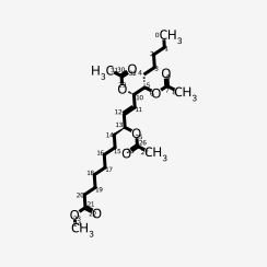 CCCCC[C@H](OC(C)=O)[C@H](/C=C/[C@H](CCCCCCCC(=O)OC)OC(C)=O)OC(C)=O